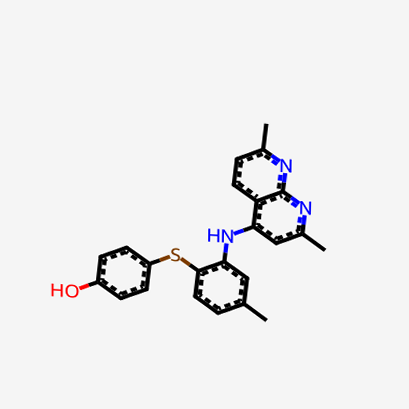 Cc1ccc(Sc2ccc(O)cc2)c(Nc2cc(C)nc3nc(C)ccc23)c1